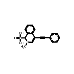 CN1C=C(C#Cc2ccccc2)c2ccccc2C1P(=O)(O)O